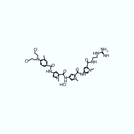 Cc1cc(C(=O)Nc2cc(C(=O)Nc3cc(C(=O)Nc4cc(C(=O)NCCNC(=N)N)n(C)c4)n(C)c3)n(C)c2)ccc1N(CCCl)CCCl.Cl